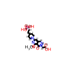 COc1nc(N2CCC(CCP(=O)(O)O)CC2)cc2cnn(CC(=O)O)c(=O)c12